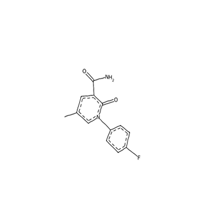 Cc1cc(C(N)=O)c(=O)n(-c2ccc(F)cc2)c1